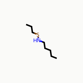 CCCCCNSCCC